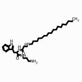 CCCCCCCCCCCCCCCCCCNCCC(=O)NC(Cc1c[nH]c2ccccc12)C(=O)NCCCN